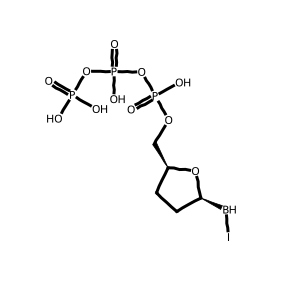 O=P(O)(O)OP(=O)(O)OP(=O)(O)OC[C@@H]1CC[C@H](BI)O1